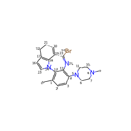 Cc1ccc(N2CCN(C)CC2)c2c1-n1ccc3c1C(=CCC3)C(Br)=N2